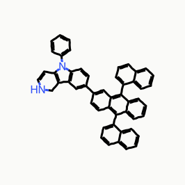 C1=Cc2c(c3cc(-c4ccc5c(-c6cccc7ccccc67)c6ccccc6c(-c6cccc7ccccc67)c5c4)ccc3n2-c2ccccc2)CN1